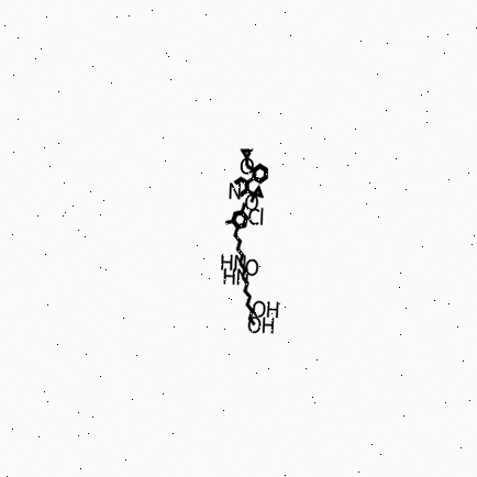 Cc1cc(COC2(c3cnccc3-c3ccccc3OC3CC3)CC2)c(Cl)cc1CCCCNC(=O)NCCCCC(O)CO